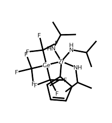 CC(C)[NH][Zr]([NH]C(C)C)([NH]C(C)C)([C]1=CC=CC1)[Ge]([C](F)(F)F)([C](F)(F)F)[C](F)(F)F